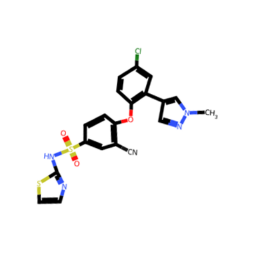 Cn1cc(-c2cc(Cl)ccc2Oc2ccc(S(=O)(=O)Nc3nccs3)cc2C#N)cn1